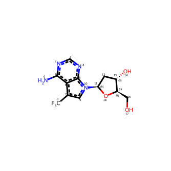 Nc1ncnc2c1c(C(F)(F)F)cn2[C@H]1C[C@H](O)[C@@H](CO)O1